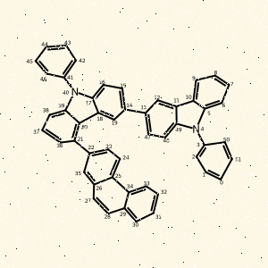 c1ccc(-n2c3ccccc3c3cc(-c4ccc5c(c4)c4c(-c6ccc7c(ccc8ccccc87)c6)cccc4n5-c4ccccc4)ccc32)cc1